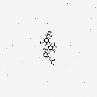 CCC(=O)C=Cc1cccc(C(=O)c2cc(OC)c(C(C)C)cc2Oc2c(Br)cc(CC(=O)O)cc2Br)c1